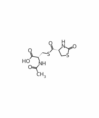 CC(=O)N[C@@H](CSC(=O)[C@H]1CSC(=O)N1)C(=O)O